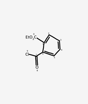 CCOC(=O)c1ccccc1C(=O)Cl